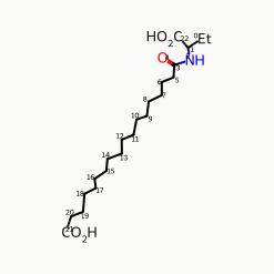 CCC(NC(=O)CCCCCCCCCCCCCCCCC(=O)O)C(=O)O